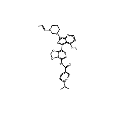 CC=CN1CCC[C@@H](n2nc(-c3ccc(NC(=O)c4ccc(N(C)C)cc4)c4c3OCO4)c3c(N)ncnc32)C1